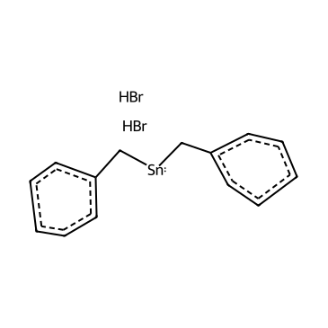 Br.Br.c1ccc([CH2][Sn][CH2]c2ccccc2)cc1